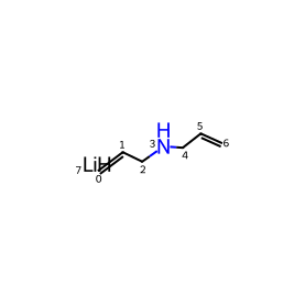 C=CCNCC=C.[LiH]